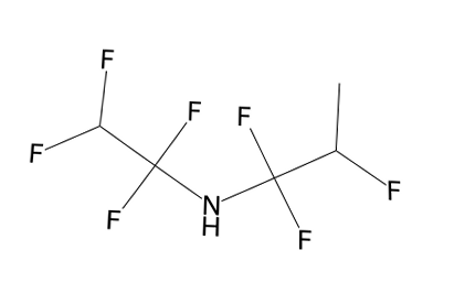 CC(F)C(F)(F)NC(F)(F)C(F)F